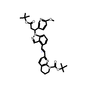 COc1ccc(C(CC(=O)OC(C)(C)C)n2ncc3c(/C=C/c4ccc5c(n4)N(C(=O)OC(C)(C)C)CCC5)cccc32)cn1